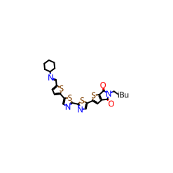 CCC(C)CN1C(=O)c2cc(-c3cnc(-c4ncc(-c5ccc(/C=N/C6CCCCC6)s5)s4)s3)sc2C1=O